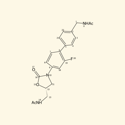 CC(=O)NCc1ccc(-c2ccc(N3C[C@H](CNC(C)=O)OC3=O)cc2F)cc1